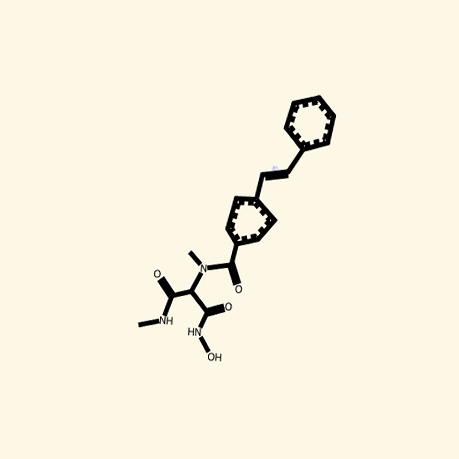 CNC(=O)C(C(=O)NO)N(C)C(=O)c1ccc(/C=C/c2ccccc2)cc1